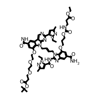 CCOC(=O)CCNC(=O)OCCCOc1cc(C(N)=O)cc2nc(NC(=O)c3cc(C)nn3CC)n(C/C=C/Cn3c4nc(-c5cc(C)nn5CC)ncc4c4cc(C(N)=O)cc(OCCOCCOCCC(=O)OC(C)(C)C)c43)c12